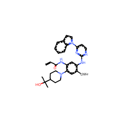 C=CC(=O)Nc1cc(Nc2nccc(-n3ccc4ccccc43)n2)c(OC)cc1N1CCC(C(C)(C)O)CC1